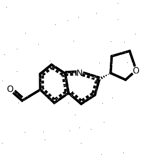 O=Cc1ccc2nc([C@@H]3CCOC3)ccc2c1